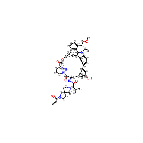 C=CC(=O)N1CC[C@]2(CCN(C(C(=O)N[C@@H]3Cc4cc(O)cc(c4)-c4ccc5c(c4)c(c(-c4ccccc4CCOC)n5CC)CC(C)(C)COC(=O)[C@@H]4CCCN(N4)C3=O)C(C)C)C2=O)C1